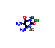 CCn1c(N)c(N)c(=O)n(CC)c1=O.Cl